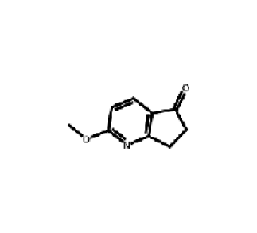 COc1ccc2c(n1)CCC2=O